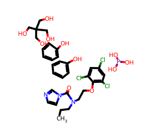 CCCN(CCOc1c(Cl)cc(Cl)cc1Cl)C(=O)n1ccnc1.OCC(CO)(CO)CO.OP(O)O.Oc1ccccc1.Oc1ccccc1